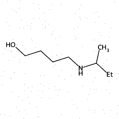 CCC(C)NCCCCO